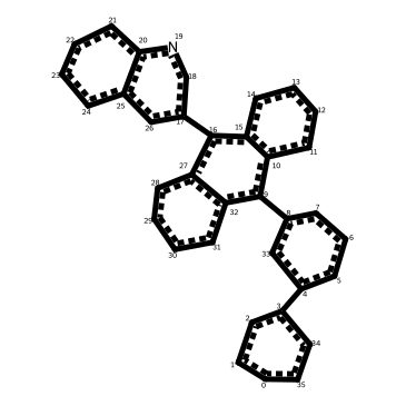 c1ccc(-c2cccc(-c3c4ccccc4c(-c4cnc5ccccc5c4)c4ccccc34)c2)cc1